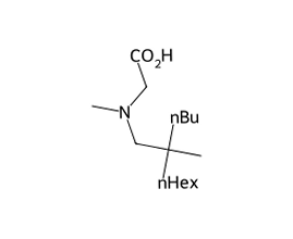 CCCCCCC(C)(CCCC)CN(C)CC(=O)O